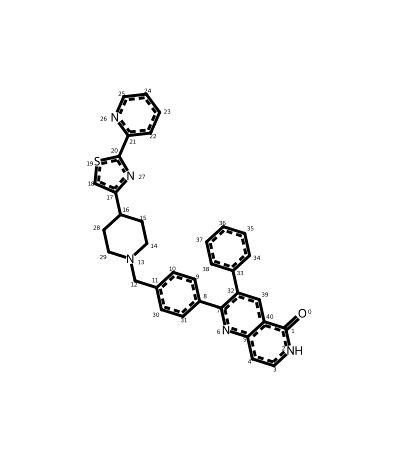 O=c1[nH]ccc2nc(-c3ccc(CN4CCC(c5csc(-c6ccccn6)n5)CC4)cc3)c(-c3ccccc3)cc12